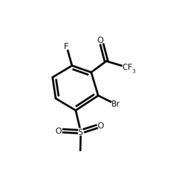 CS(=O)(=O)c1ccc(F)c(C(=O)C(F)(F)F)c1Br